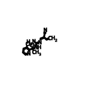 C=C/C(C#N)=C\N=C(/N)NC(C)(C)c1ncccc1Cl